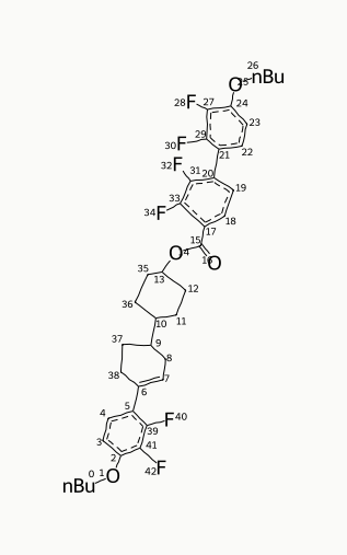 CCCCOc1ccc(C2=CCC(C3CCC(OC(=O)c4ccc(-c5ccc(OCCCC)c(F)c5F)c(F)c4F)CC3)CC2)c(F)c1F